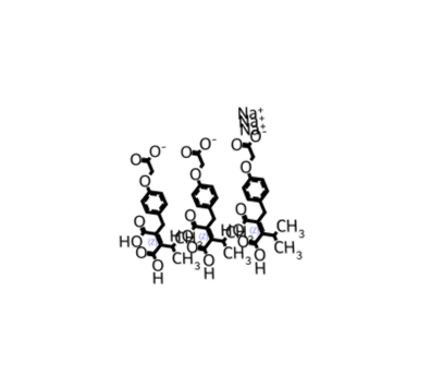 CC(C)/C(C(=O)O)=C(\Cc1ccc(OCC(=O)[O-])cc1)C(=O)O.CC(C)/C(C(=O)O)=C(\Cc1ccc(OCC(=O)[O-])cc1)C(=O)O.CC(C)/C(C(=O)O)=C(\Cc1ccc(OCC(=O)[O-])cc1)C(=O)O.[Na+].[Na+].[Na+]